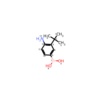 CC(C)(C)c1cc(B(O)O)ccc1N